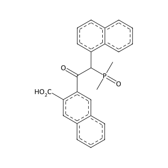 CP(C)(=O)C(C(=O)c1cc2ccccc2cc1C(=O)O)c1cccc2ccccc12